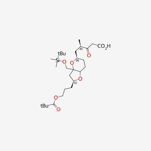 C[C@H](C[C@H]1CCC2O[C@@H](CCCOC(=O)C(C)(C)C)CC2(CO[Si](C)(C)C(C)(C)C)O1)C(=O)CC(=O)O